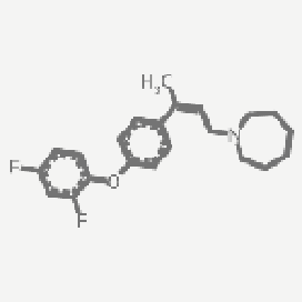 CC(=CCN1CCCCCC1)c1ccc(Oc2ccc(F)cc2F)cc1